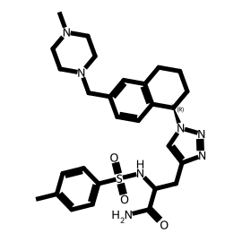 Cc1ccc(S(=O)(=O)NC(Cc2cn([C@@H]3CCCc4cc(CN5CCN(C)CC5)ccc43)nn2)C(N)=O)cc1